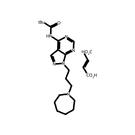 CC(C)(C)C(=O)Nc1ncnc2c1cnn2CCCN1CCCCCC1.O=C(O)C=CC(=O)O